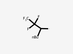 [CH2]C(CCCC)C(F)(F)C(F)(F)F